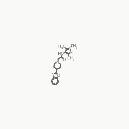 Cc1nn(C)c(C)c1NC(=O)CN1CCC(c2nc3ccccc3o2)CC1